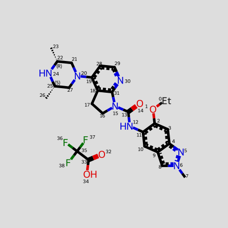 CCOc1cc2nn(C)cc2cc1NC(=O)N1CCc2c(N3C[C@@H](C)N[C@@H](C)C3)ccnc21.O=C(O)C(F)(F)F